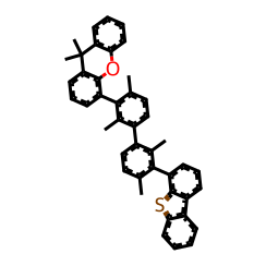 Cc1ccc(-c2ccc(C)c(-c3cccc4c3sc3ccccc34)c2C)c(C)c1-c1cccc2c1Oc1ccccc1C2(C)C